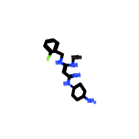 CNN/C(=C\C(=N)N[C@H]1CC[C@H](N)CC1)NCc1ccccc1F